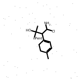 CCCCCC(C)(O)C(C1=CC=C(C)CC1)C(N)Cl